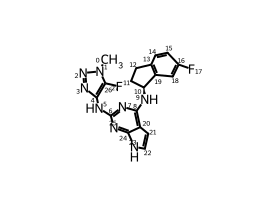 Cn1nnc(Nc2nc(N[C@H]3CCc4ccc(F)cc43)c3cc[nH]c3n2)c1F